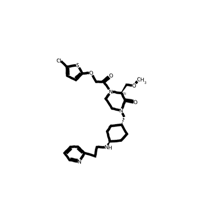 COC[C@H]1C(=O)N(C[C@H]2CC[C@H](NCCc3ccccn3)CC2)CCN1C(=O)COc1ccc(Cl)s1